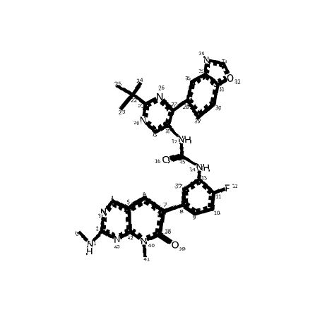 CNc1ncc2cc(-c3ccc(F)c(NC(=O)Nc4cnc(C(C)(C)C)nc4-c4ccc5ocnc5c4)c3)c(=O)n(C)c2n1